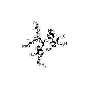 CC(C)OC(=O)OCOP(=O)(CO[C@H](C)Cn1cnc2c(N)ncnc21)OCOC(=O)OC(C)C.Nc1ccn([C@@H]2CS[C@H](CO)O2)c(=O)n1.O=C(O)/C=C/C(=O)O.[N-]=[N+]=NP